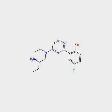 CC[C@@H](N)CN(CC)c1ccnc(-c2cc(Cl)ccc2O)n1